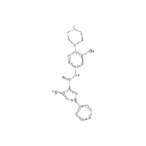 N#Cc1cc(NC(=O)c2nc(-c3ccccc3)oc2C(F)(F)F)ccc1N1CCNCC1